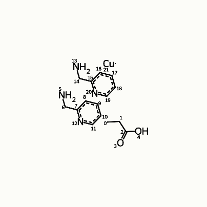 CCC(=O)O.NCc1ccccn1.NCc1ccccn1.[Cu]